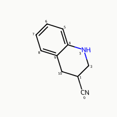 N#CC1CNc2ccccc2C1